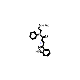 CC(=O)NCCN(C(=O)/C=C/c1n[nH]c2ccccc12)c1ccccc1